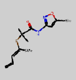 C=C/C=C(\SC)SC(C)(C)C(=O)Nc1cc(C(C)(C)C)on1